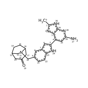 Cc1nc2c(-c3cc4cc(CN5CC6CCC5CC(=O)C6)ccc4[nH]3)cc(N)nc2[nH]1